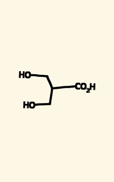 O=C(O)C(CO)CO